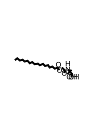 CCCCCCCCCCCCCCCCCC(=O)OCC(=O)NC(C)(CO)CO